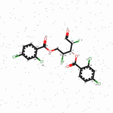 O=C[C@@H](F)[C@H](OC(=O)c1ccc(Cl)cc1Cl)[C@@H](Br)COC(=O)c1ccc(Cl)cc1Cl